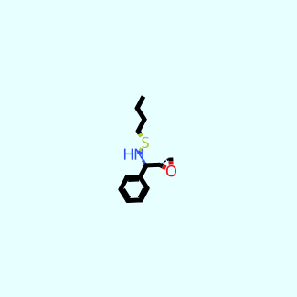 CCCCSN[C@H](c1ccccc1)[C@@H]1CO1